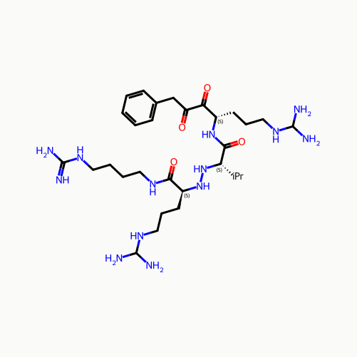 CC(C)[C@H](NN[C@@H](CCCNC(N)N)C(=O)NCCCCNC(=N)N)C(=O)N[C@@H](CCCNC(N)N)C(=O)C(=O)Cc1ccccc1